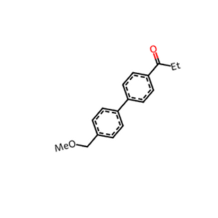 CCC(=O)c1ccc(-c2ccc(COC)cc2)cc1